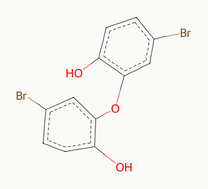 Oc1ccc(Br)cc1Oc1cc(Br)ccc1O